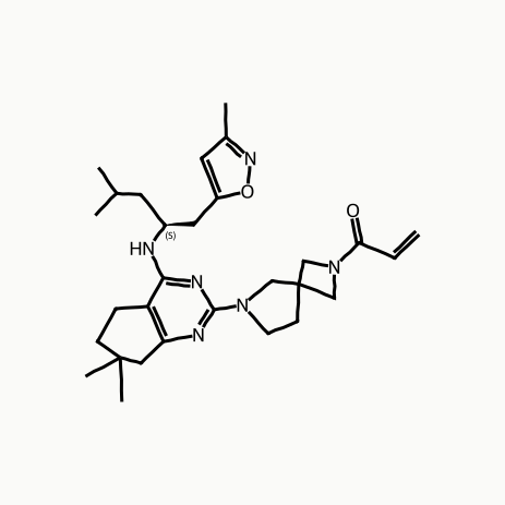 C=CC(=O)N1CC2(CCN(c3nc4c(c(N[C@H](Cc5cc(C)no5)CC(C)C)n3)CCC(C)(C)C4)C2)C1